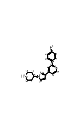 Fc1ccc(-c2cc(-c3ccn(C4CCNCC4)n3)ccn2)cc1